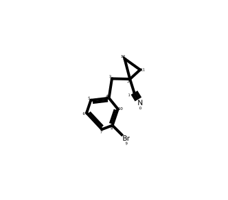 N#CC1(Cc2cccc(Br)c2)CC1